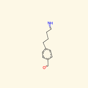 N=CCCCc1ccc(C=O)cc1